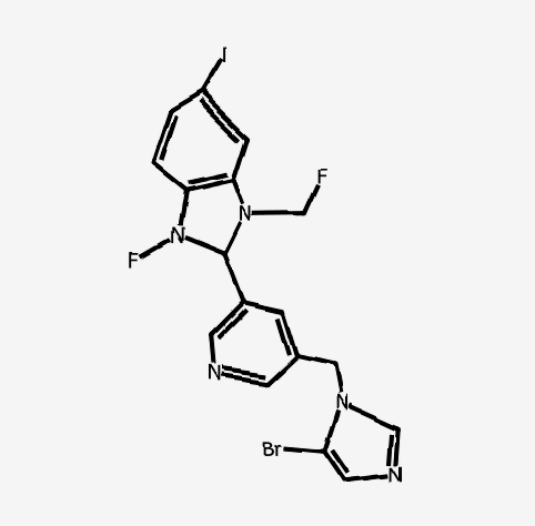 FCN1c2cc(I)ccc2N(F)C1c1cncc(Cn2cncc2Br)c1